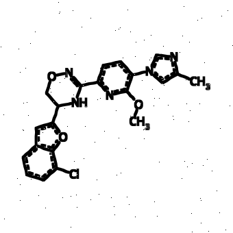 COc1nc(C2=NOCC(c3cc4cccc(Cl)c4o3)N2)ccc1-n1cnc(C)c1